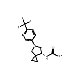 O=C(O)N[C@H]1CN(c2ccc(C(F)(F)F)nc2)CC12CC2